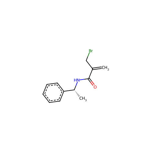 C=C(CBr)C(=O)N[C@H](C)c1ccccc1